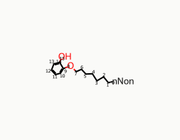 CCCCCCCCCCCCCCCCOc1ccccc1O